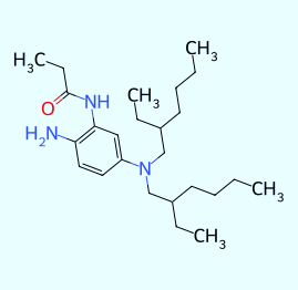 CCCCC(CC)CN(CC(CC)CCCC)c1ccc(N)c(NC(=O)CC)c1